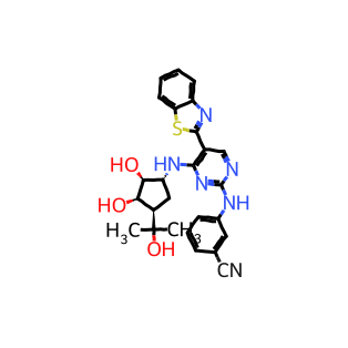 CC(C)(O)[C@@H]1C[C@@H](Nc2nc(Nc3cccc(C#N)c3)ncc2-c2nc3ccccc3s2)[C@H](O)[C@@H]1O